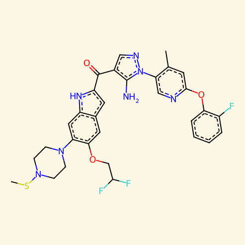 CSN1CCN(c2cc3[nH]c(C(=O)c4cnn(-c5cnc(Oc6ccccc6F)cc5C)c4N)cc3cc2OCC(F)F)CC1